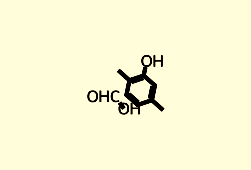 Cc1ccc(C)c(O)c1.O=CO